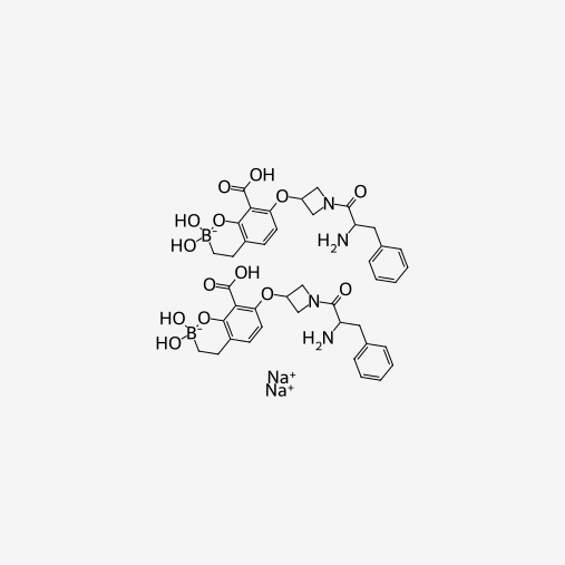 NC(Cc1ccccc1)C(=O)N1CC(Oc2ccc3c(c2C(=O)O)O[B-](O)(O)CC3)C1.NC(Cc1ccccc1)C(=O)N1CC(Oc2ccc3c(c2C(=O)O)O[B-](O)(O)CC3)C1.[Na+].[Na+]